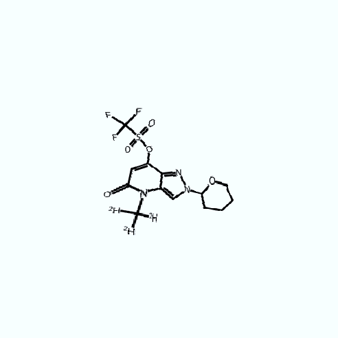 [2H]C([2H])([2H])n1c(=O)cc(OS(=O)(=O)C(F)(F)F)c2nn(C3CCCCO3)cc21